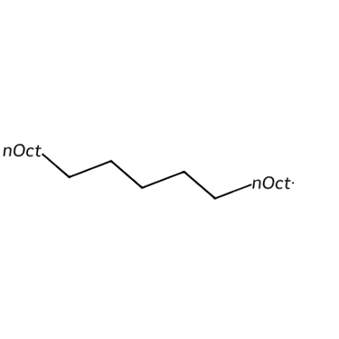 CCCCCCC[CH]CCCCCCCCCCCCC